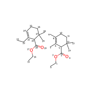 CCOC(=O)C1C(C)=C(C)CCC1(C)C.CCOC(=O)C1C(CC)=CCCC1(C)C